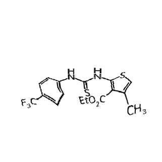 CCOC(=O)c1c(C)csc1NC(=S)Nc1ccc(C(F)(F)F)cc1